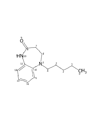 CCCCCN1CCC(=O)Nc2ccccc21